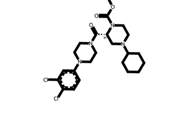 CC(C)(C)OC(=O)N1CCN(C2CCCCC2)C[C@@H]1C(=O)N1CCN(c2ccc(Cl)c(Cl)c2)CC1